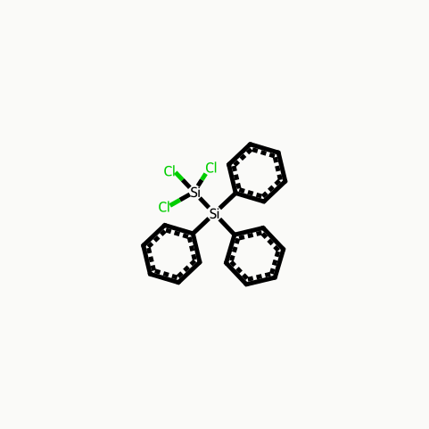 Cl[Si](Cl)(Cl)[Si](c1ccccc1)(c1ccccc1)c1ccccc1